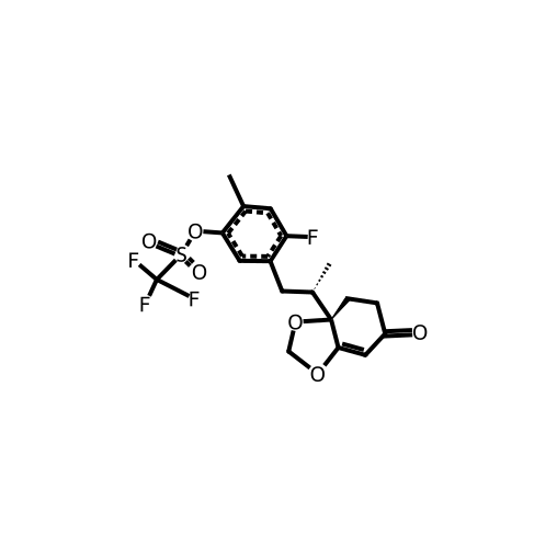 Cc1cc(F)c(C[C@H](C)[C@]23CCC(=O)C=C2OCO3)cc1OS(=O)(=O)C(F)(F)F